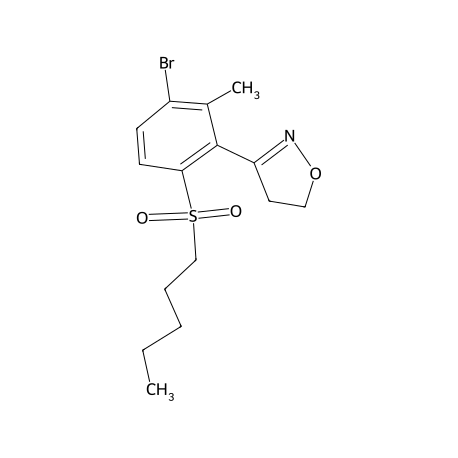 CCCCCS(=O)(=O)c1ccc(Br)c(C)c1C1=NOCC1